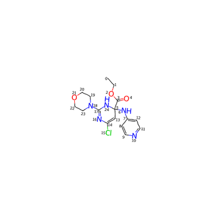 CCOC(=O)C1(Nc2ccncc2)C=C(Cl)N=C(N2CCOCC2)N1